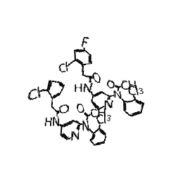 CC(=O)N(c1cc(NC(=O)Cc2ccc(F)cc2Cl)ccn1)c1ccccc1Cl.CC(=O)N(c1cc(NC(=O)Cc2ccccc2Cl)ccn1)c1ccccc1Cl